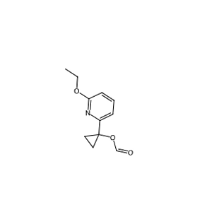 CCOc1cccc(C2(OC=O)CC2)n1